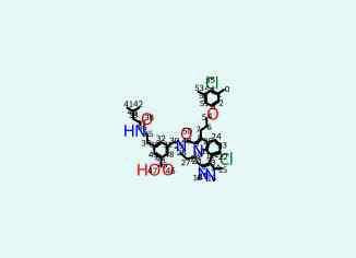 Cc1cc(OCCCc2c3n(c4c(-c5c(C)nn(C)c5C)c(Cl)ccc24)CCCN(Cc2cc(CCNC(=O)CC(C)C)cc(C(=O)O)c2)C3=O)cc(C)c1Cl